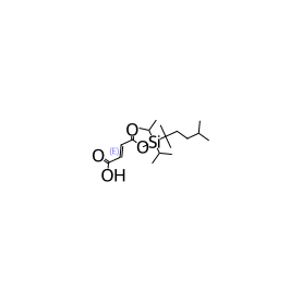 CC(C)CCC(C)(C)[Si](OC(=O)/C=C/C(=O)O)(C(C)C)C(C)C